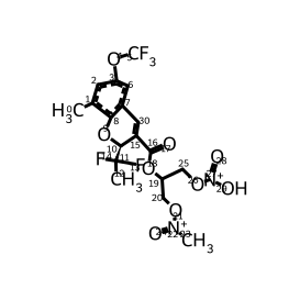 Cc1cc(OC(F)(F)F)cc2c1O[C@H](C(C)(F)F)C(C(=O)OC(CO[N+](C)=O)CO[N+](=O)O)=C2